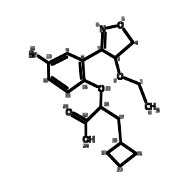 CCOC1CON=C1c1cc(Br)ccc1OC(CC1CCC1)C(=O)O